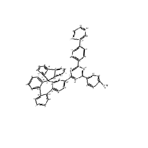 N#Cc1ccc(-c2nc(-c3ccc(-c4ccccn4)cc3)nc(-c3ccc4c(c3)C3(c5ccccc5-c5ccccc5-4)c4ccccc4-c4ccccc43)n2)cc1